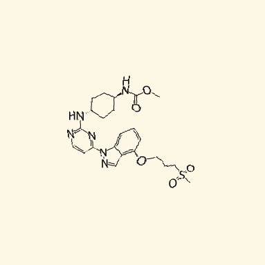 COC(=O)N[C@H]1CC[C@H](Nc2nccc(-n3ncc4c(OCCCS(C)(=O)=O)cccc43)n2)CC1